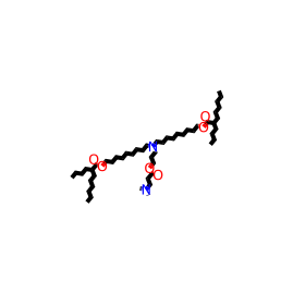 CCCCCCC(CCCC)C(=O)OCCCCCCCCCN(CCCCCCCCCOC(=O)C(CCCC)CCCCCC)CCCOC(=O)CCN(C)C